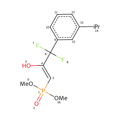 COP(=O)(/C=C(\O)C(F)(F)c1cccc(C(C)C)c1)OC